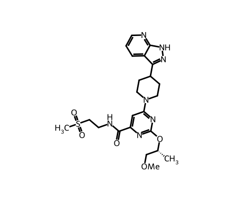 COC[C@@H](C)Oc1nc(C(=O)NCCS(C)(=O)=O)cc(N2CCC(c3n[nH]c4ncccc34)CC2)n1